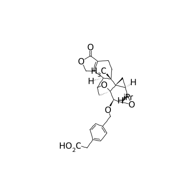 CC(C)[C@]12O[C@H]1[C@@H]1C[C@@]13[C@@]1(C)CCC4=C(COC4=O)[C@@H]1C1C[C@@]3(O1)[C@@H]2OCc1ccc(CC(=O)O)cc1